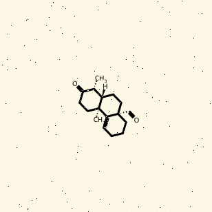 C[C@H]1C(=O)CC[C@]2(C)C3=CCCC[C@]3(C=O)CC[C@@H]12